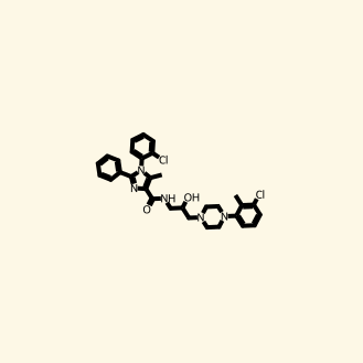 Cc1c(Cl)cccc1N1CCN(CC(O)CNC(=O)c2nc(-c3ccccc3)n(-c3ccccc3Cl)c2C)CC1